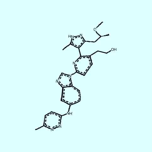 CO[C@@H](C)Cc1n[nH]c(C)c1-c1nc(-n2cnc3cc(Nc4ccc(C)nn4)ccc32)ccc1CCO